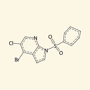 O=S(=O)(c1ccccc1)n1ccc2c(Br)c(Cl)cnc21